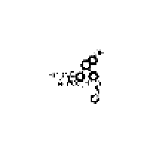 O=C(O)C(O)C(O)C(=O)O.Oc1ccc2c(c1)CC[C@@H](c1ccccc1)[C@H]2c1ccc(OCCN2CCCC2)cc1